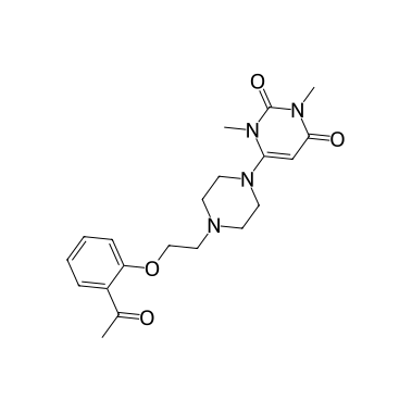 CC(=O)c1ccccc1OCCN1CCN(c2cc(=O)n(C)c(=O)n2C)CC1